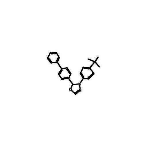 CC(C)(C)c1ccc(N2N=COC2c2ccc(-c3ccccc3)cc2)cc1